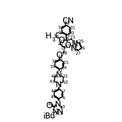 CC[C@H](C)n1ncn(-c2ccc(N3CCN(c4ccc(OC[C@H]5CO[C@](Cn6cccn6)(c6ccc(C#N)cc6C)O5)cc4)CC3)cc2)c1=O